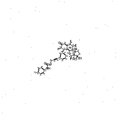 CC[C@]1(O)CC[C@H]2[C@H]3C(=C4C(=CC(=O)C(F)C4F)C(F)C3F)[C@@H](c3ccc(C#CCOC(=O)Nc4ccc(C)cc4)cc3)C(F)[C@@]21C